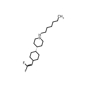 CCCCCCC[Si@H]1CC[C@H](C2CCC(C=C(F)F)CC2)CC1